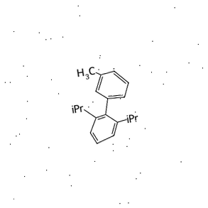 Cc1[c]ccc(-c2c(C(C)C)cccc2C(C)C)c1